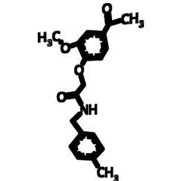 COc1cc(C(C)=O)ccc1OCC(=O)NCc1ccc(C)cc1